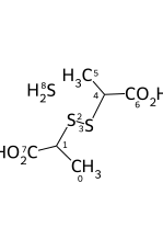 CC(SSC(C)C(=O)O)C(=O)O.S